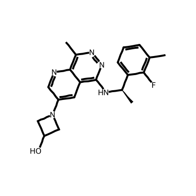 Cc1cccc([C@@H](C)Nc2nnc(C)c3ncc(N4CC(O)C4)cc23)c1F